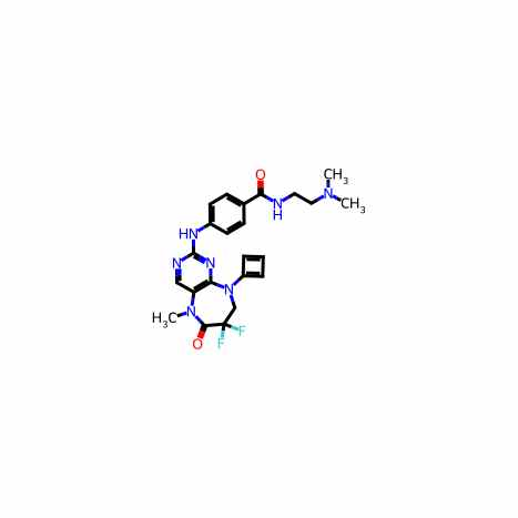 CN(C)CCNC(=O)c1ccc(Nc2ncc3c(n2)N(C2=CC=C2)CC(F)(F)C(=O)N3C)cc1